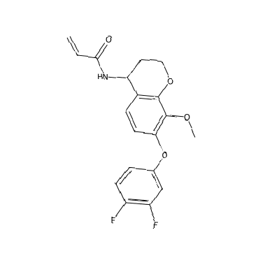 C=CC(=O)NC1CCOc2c1ccc(Oc1ccc(F)c(F)c1)c2OC